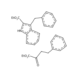 CCOC(=O)C(=O)CCc1ccccc1.CCOC(=O)c1[nH]c2ccccc2c1Cc1ccccc1